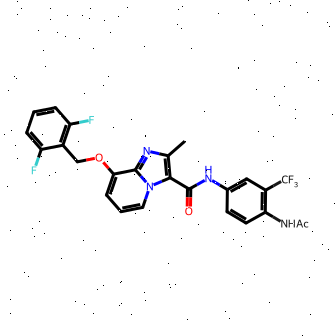 CC(=O)Nc1ccc(NC(=O)c2c(C)nc3c(OCc4c(F)cccc4F)cccn23)cc1C(F)(F)F